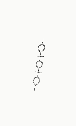 CC(C)(c1ccc(I)cc1)c1ccc(C(C)(C)c2ccc(I)cc2)cc1